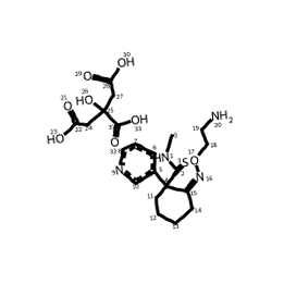 CNC(=S)C1(c2cccnc2)CCCC/C1=N/OCCN.O=C(O)CC(O)(CC(=O)O)C(=O)O